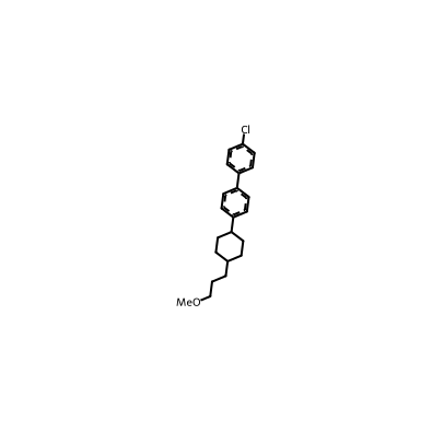 COCCCC1CCC(c2ccc(-c3ccc(Cl)cc3)cc2)CC1